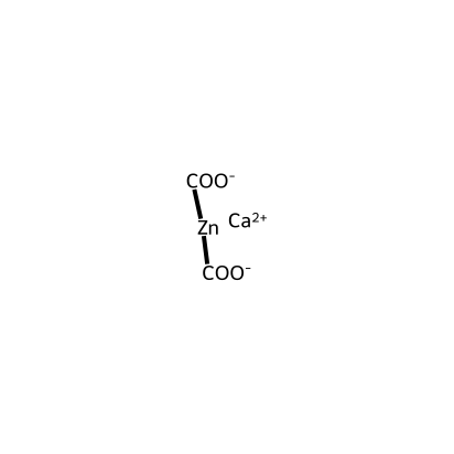 O=[C]([O-])[Zn][C](=O)[O-].[Ca+2]